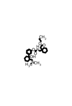 C=CCOC(=O)CC1(CNC(=O)Oc2cccc(C3(O)CCCCC3CN(C)C)c2)CCCCC1